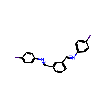 Ic1ccc(/N=C/c2cccc(/C=N/c3ccc(I)cc3)c2)cc1